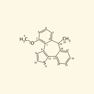 COc1cccc2c1-c1ccsc1-c1ccccc1C2C